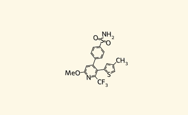 COc1cc(-c2ccc(S(N)(=O)=O)cc2)c(-c2cc(C)cs2)c(C(F)(F)F)n1